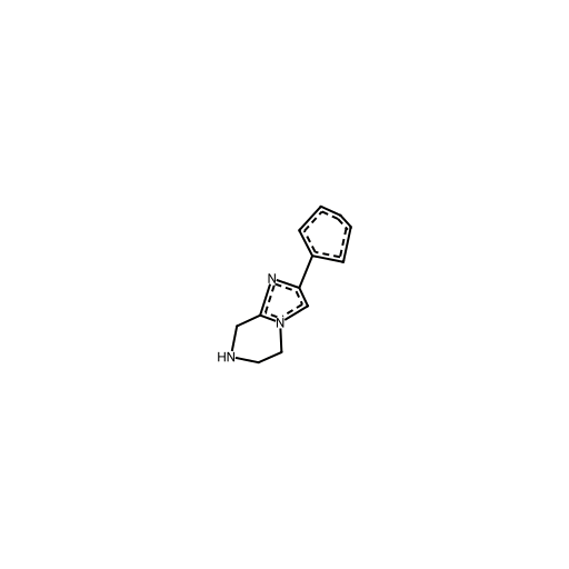 c1ccc(-c2cn3c(n2)CNCC3)cc1